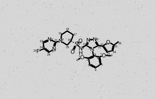 COc1cccc(OC)c1-n1c(NS(=O)(=O)[C@H]2CCCN(c3ncc(F)cn3)C2)nnc1-c1ccc(C)o1